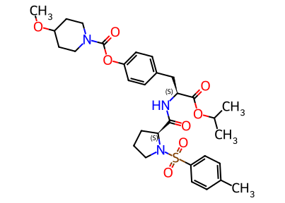 COC1CCN(C(=O)Oc2ccc(C[C@H](NC(=O)[C@@H]3CCCN3S(=O)(=O)c3ccc(C)cc3)C(=O)OC(C)C)cc2)CC1